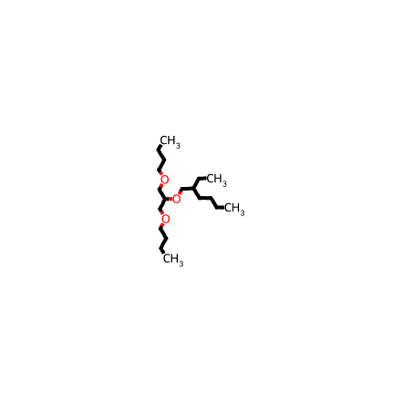 CCCCOCC(COCCCC)OCC(CC)CCCC